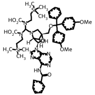 COc1ccc(C(OC[C@@]23CN(C(N(CC[Si](C)(C)C)C(=O)O)N(CC[Si](C)(C)C)C(=O)O)[C@@H]([C@H](n4cnc5c(NC(=O)c6ccccc6)ncnc54)O2)[C@@H]3O)(c2ccccc2)c2ccc(OC)cc2)cc1